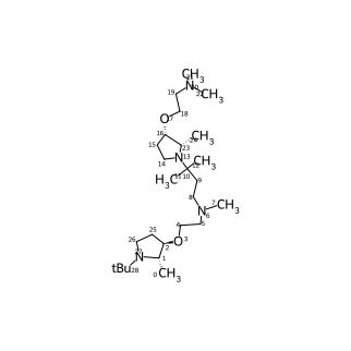 C[C@H]1[C@H](OCCN(C)CCC(C)(C)N2CC[C@H](OCCN(C)C)[C@@H]2C)CCN1C(C)(C)C